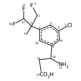 CC(CF)(c1cc(Cl)cc(C(N)CC(=O)O)c1)C(F)F